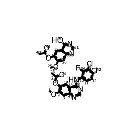 COc1cc2ncnc(Nc3cccc(Cl)c3F)c2cc1OC(C)=O.COc1cc2ncnc(O)c2cc1OC(C)=O.Cl